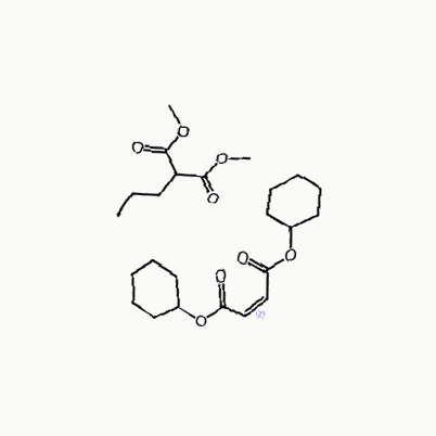 CCCC(C(=O)OC)C(=O)OC.O=C(/C=C\C(=O)OC1CCCCC1)OC1CCCCC1